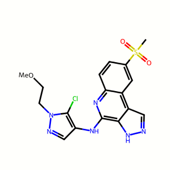 COCCn1ncc(Nc2nc3ccc(S(C)(=O)=O)cc3c3cn[nH]c23)c1Cl